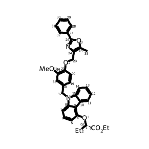 CCOC(=O)[C@H](CC)Oc1cccc2c1c1ccccc1n2Cc1ccc(OCc2nc(-c3ccccc3)oc2C)c(OC)c1